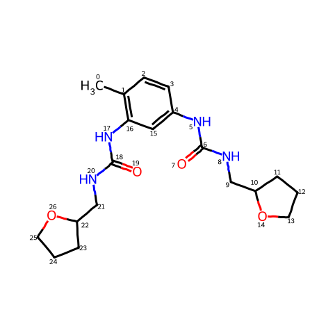 Cc1ccc(NC(=O)NCC2CCCO2)cc1NC(=O)NCC1CCCO1